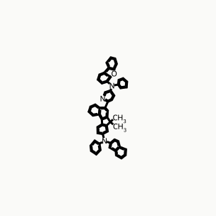 CC1(C)c2cc(N(c3ccccc3)c3ccc4ccccc4c3)ccc2-c2c1cc(-c1ccc(N(c3ccccc3)c3cccc4c3oc3ccccc34)cn1)c1ccccc21